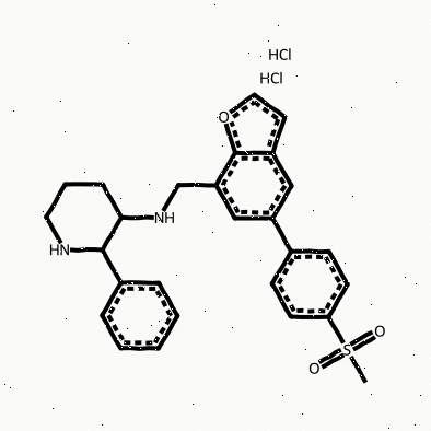 CS(=O)(=O)c1ccc(-c2cc(CNC3CCCNC3c3ccccc3)c3occc3c2)cc1.Cl.Cl